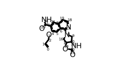 C=CCOc1cc2c(N3CC4NC(=O)OC4C3)nccc2cc1C(N)=O